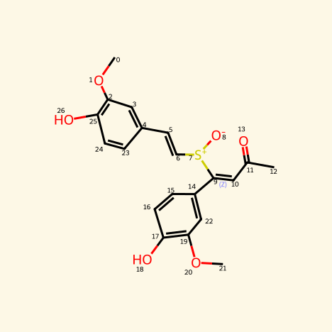 COc1cc(C=C[S+]([O-])/C(=C\C(C)=O)c2ccc(O)c(OC)c2)ccc1O